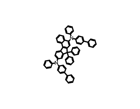 c1ccc(-c2ccc(N(c3ccccc3)c3ccc4c(c3)C(c3ccccc3)(c3ccccc3)c3cc(N(c5ccccc5)c5ccc(-c6ccccc6)cc5)c5ccccc5c3-4)cc2)cc1